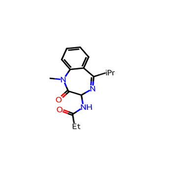 CCC(=O)NC1N=C(C(C)C)c2ccccc2N(C)C1=O